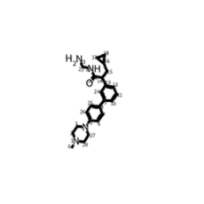 CN1CCN(c2ccc(-c3cccc(C(CC4CC4)C(=O)NCN)c3)cc2)CC1